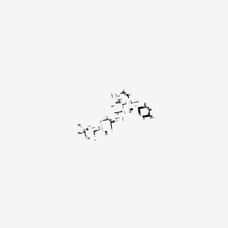 Cc1ccc(S(=O)(=O)N2C=CNC(=O)[C@H]2CC(=O)NC2CCN(C(=O)OC(C)(C)C)CC2)cc1